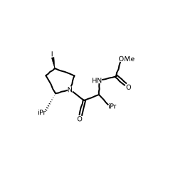 COC(=O)NC(C(=O)N1C[C@H](I)C[C@H]1C(C)C)C(C)C